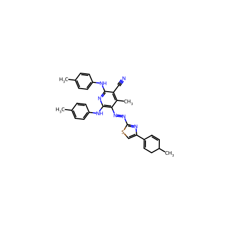 Cc1ccc(Nc2nc(Nc3ccc(C)cc3)c(N=Nc3nc(C4=CCC(C)C=C4)cs3)c(C)c2C#N)cc1